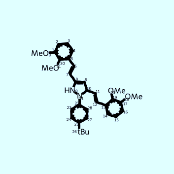 COc1cccc(C=CC2=CC(C=Cc3cccc(OC)c3OC)N(c3ccc(C(C)(C)C)cc3)N2)c1OC